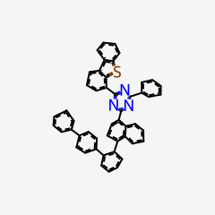 c1ccc(-c2ccc(-c3ccccc3-c3ccc(-c4nc(-c5ccccc5)nc(-c5cccc6c5sc5ccccc56)n4)c4ccccc34)cc2)cc1